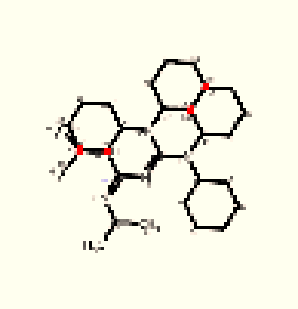 CC(C)/N=C(\N=C(N(C1CCCCC1)C1CCCCC1)N(C1CCCCC1)C1CCCCC1)NC(C)C